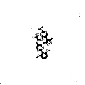 COc1cccc(OC)c1-c1ncc(C[C@H](Nc2nc(N(C)C)ncc2-c2c(C)noc2C)C(=O)O)cn1